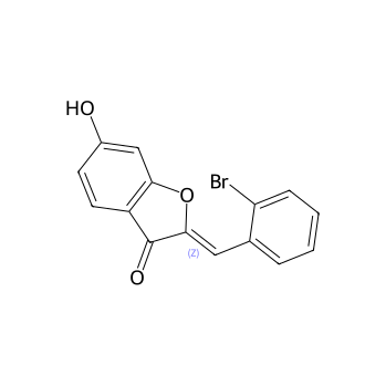 O=C1/C(=C/c2ccccc2Br)Oc2cc(O)ccc21